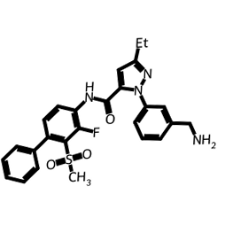 CCc1cc(C(=O)Nc2ccc(-c3ccccc3)c(S(C)(=O)=O)c2F)n(-c2cccc(CN)c2)n1